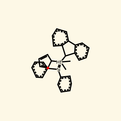 [CH3][Hf]([CH3])([CH]1C=CC=C1)([CH]1c2ccccc2-c2ccccc21)=[Si](c1ccccc1)c1ccccc1